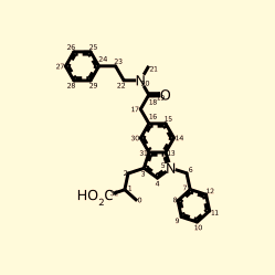 CC(Cc1cn(Cc2ccccc2)c2ccc(CC(=O)N(C)CCc3ccccc3)cc12)C(=O)O